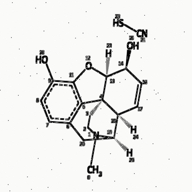 CN1CC[C@]23c4c5ccc(O)c4O[C@H]2[C@@H](O)C=C[C@H]3[C@H]1C5.N#CS